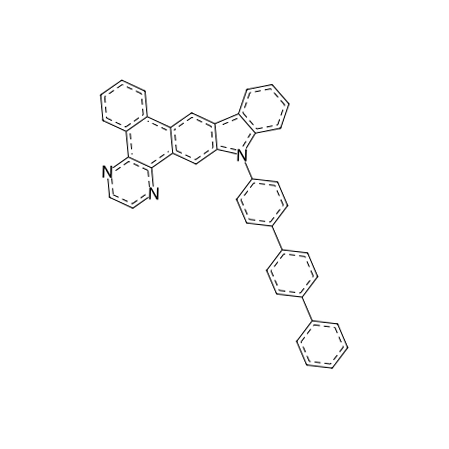 c1ccc(-c2ccc(-c3ccc(-n4c5ccccc5c5cc6c7ccccc7c7nccnc7c6cc54)cc3)cc2)cc1